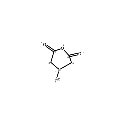 CC(=O)N1CC(=O)OC(=O)C1